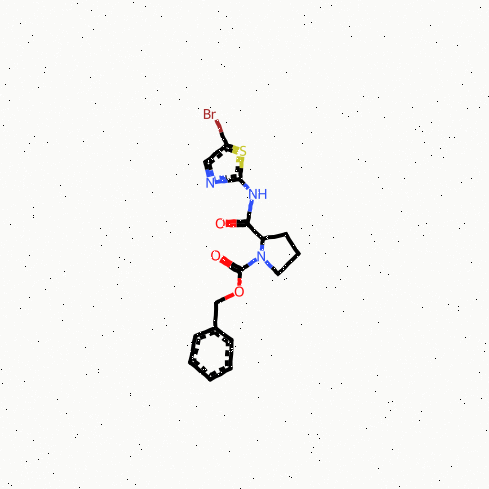 O=C(Nc1ncc(Br)s1)C1CCCN1C(=O)OCc1ccccc1